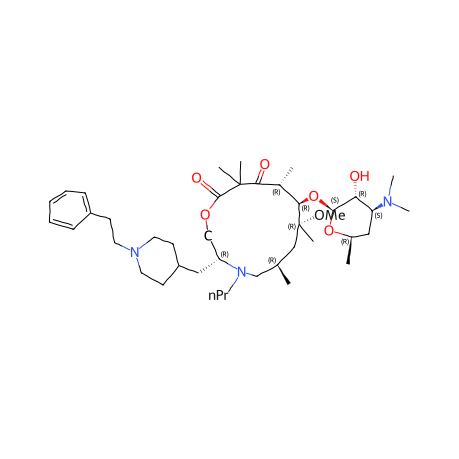 CCCN1C[C@H](C)C[C@@](C)(OC)[C@H](O[C@@H]2O[C@H](C)C[C@H](N(C)C)[C@H]2O)[C@@H](C)C(=O)C(C)(C)C(=O)OC[C@H]1CC1CCN(CCc2ccccc2)CC1